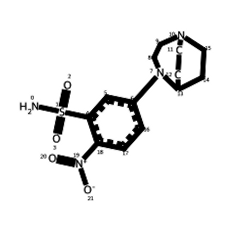 NS(=O)(=O)c1cc(N2CCN3CCC2CC3)ccc1[N+](=O)[O-]